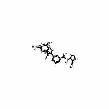 Cc1c(-c2cccc(C(=O)NC3CCNC3=O)c2)sc2c(O)nc(N)nc12